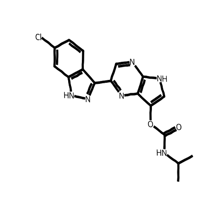 CC(C)NC(=O)Oc1c[nH]c2ncc(-c3n[nH]c4cc(Cl)ccc34)nc12